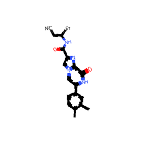 CCC(CC#N)NC(=O)c1cn2cc(-c3ccc(C)c(C)c3)[nH]c(=O)c2n1